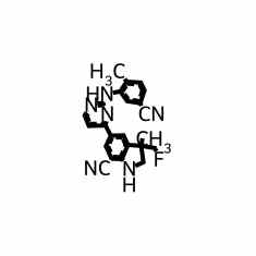 Cc1ccc(C#N)cc1Nc1nccc(-c2cc(C#N)c3c(c2)C(C)(CF)CN3)n1